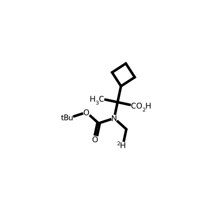 [2H]CN(C(=O)OC(C)(C)C)C(C)(C(=O)O)C1CCC1